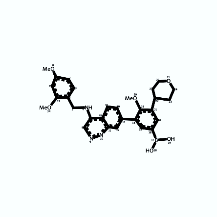 COc1ccc(CNc2cnnc3cc(-c4cc(B(O)O)cc(C5CCOCC5)c4OC)ccc23)c(OC)c1